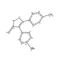 Cc1ccc(C2=C(c3ccc(C(C)(C)C)cc3)C(=O)CC2)cc1